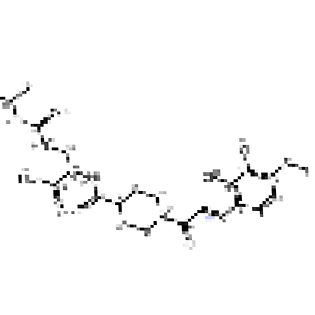 CSc1ccc(/C=C/C(=O)N2CCC(C(=O)N[C@@H](CNC(=O)OC(C)C)C(=O)O)CC2)c(Cl)c1Cl